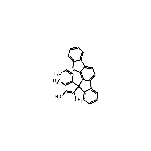 C/C=N\C(=C/C)C1(/C(C)=C/C)c2ccccc2-c2ccc3c([nH]c4ccccc43)c21